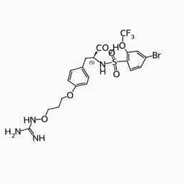 N=C(N)NOCCCOc1ccc(C[C@H](NS(=O)(=O)c2ccc(Br)cc2OC(F)(F)F)C(=O)O)cc1